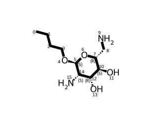 CCCCO[C@H]1O[C@H](CN)[C@@H](O)[C@H](O)[C@@H]1N